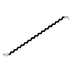 CCCCCCCC/C=C/CCCCCCC[CH]/C=C/CCCCCCCCCCCCCC